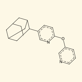 c1cncc(Oc2ccc(C3[C]4CC5CC(C4)CC3C5)cn2)c1